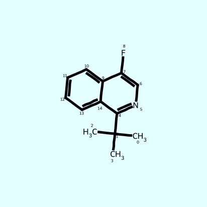 CC(C)(C)c1ncc(F)c2ccccc12